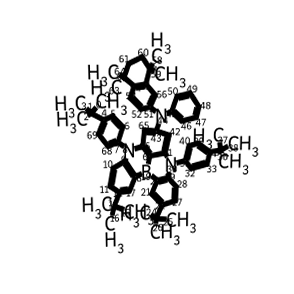 CC(C)(C)c1ccc(N2c3ccc(C(C)(C)C)cc3B3c4cc(C(C)(C)C)ccc4N(c4ccc(C(C)(C)C)cc4)c4cc(N(c5ccccc5)c5ccc6c(c5)C(C)(C)CCC6(C)C)cc2c43)cc1